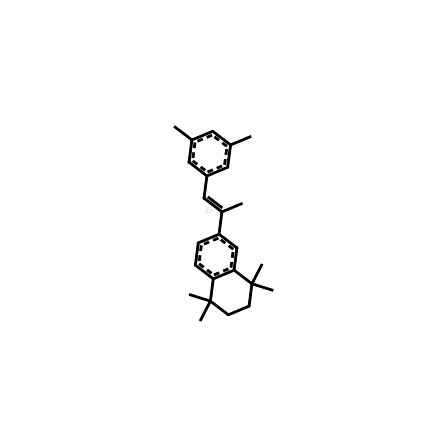 C/C(=C\c1cc(C)cc(C)c1)c1ccc2c(c1)C(C)(C)CCC2(C)C